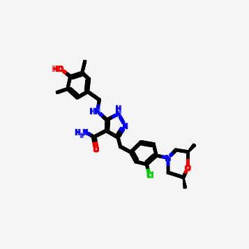 Cc1cc(CNc2[nH]nc(Cc3ccc(N4C[C@@H](C)O[C@@H](C)C4)c(Cl)c3)c2C(N)=O)cc(C)c1O